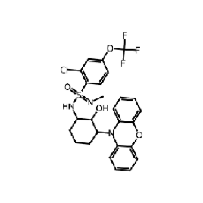 CN=S(=O)(NC1CCCC(N2c3ccccc3Oc3ccccc32)C1O)c1ccc(OC(F)(F)F)cc1Cl